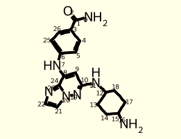 NC(=O)c1ccc(Nc2cc(NC3CCC(N)CC3)nn3ccnc23)cc1